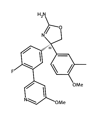 COc1cncc(-c2cc([C@@]3(c4ccc(OC)c(C)c4)COC(N)=N3)ccc2F)c1